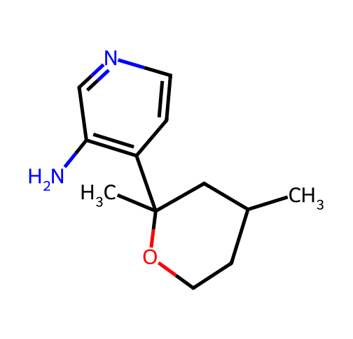 CC1CCOC(C)(c2ccncc2N)C1